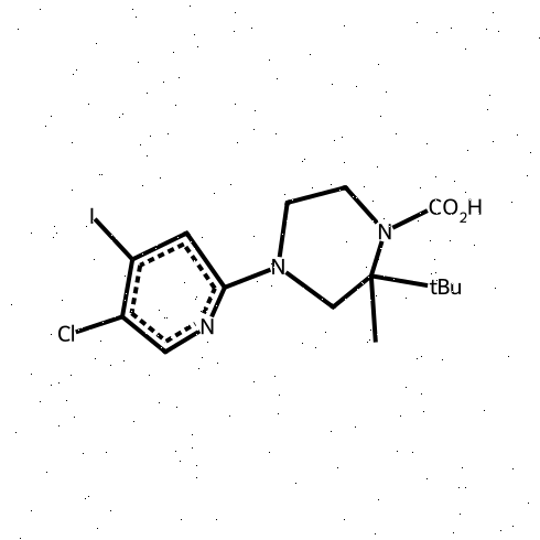 CC(C)(C)C1(C)CN(c2cc(I)c(Cl)cn2)CCN1C(=O)O